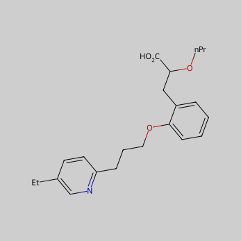 CCCOC(Cc1ccccc1OCCCc1ccc(CC)cn1)C(=O)O